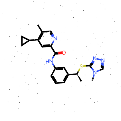 Cc1cnc(C(=O)Nc2cccc([C@H](C)Sc3nncn3C)c2)cc1C1CC1